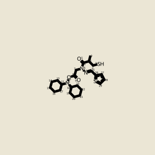 CC(CS)C(=O)N(CC(=O)ON(C1CCCCC1)C1CCCCC1)N=Cc1cccs1